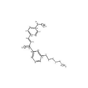 CCCCCCc1cccc(C(=O)/C=C/c2ccc(SC)cc2)c1